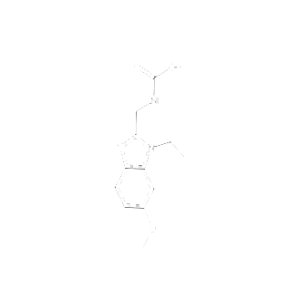 CCn1c(CNC(=O)O)nc2ccc(OC)cc21